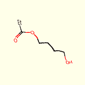 CCC(=O)OCCCCO